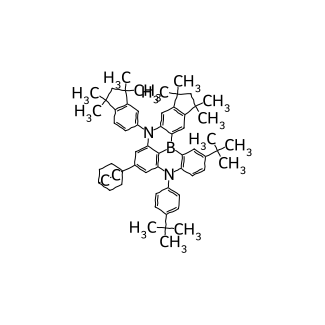 CC(C)(C)c1ccc(N2c3ccc(C(C)(C)C)cc3B3c4cc5c(cc4N(c4ccc6c(c4)C(C)(C)CC6(C)C)c4cc(C67CCC(CC6)CC7)cc2c43)C(C)(C)CC5(C)C)cc1